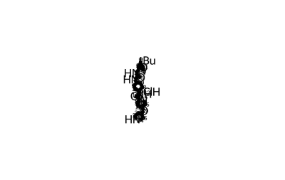 CC(C)(C)c1cc(NC(=O)NC2CCC(NC(=O)c3ccc(OC4CCNCC4)cn3)CC2)no1.Cl